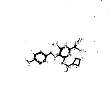 C[C@@H](Nc1nc(/C(N)=N/O)nc(N)c1NCc1ccc(SF)cc1)C1CCC1